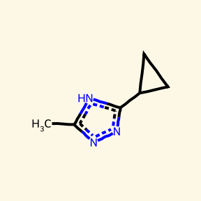 Cc1nnc(C2CC2)[nH]1